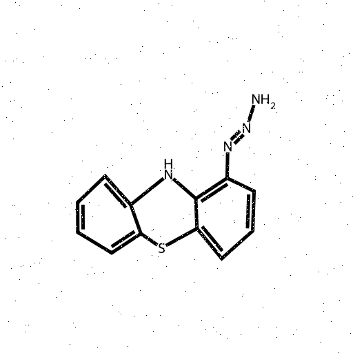 NN=Nc1cccc2c1Nc1ccccc1S2